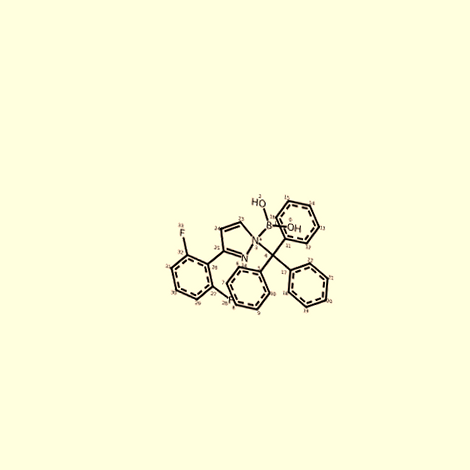 OB(O)[N+]1(C(c2ccccc2)(c2ccccc2)c2ccccc2)C=CC(c2c(F)cccc2F)=N1